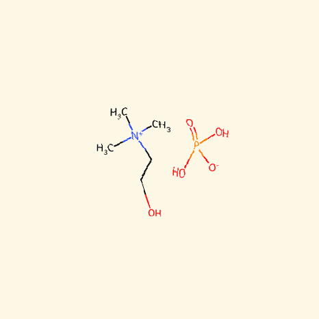 C[N+](C)(C)CCO.O=P([O-])(O)O